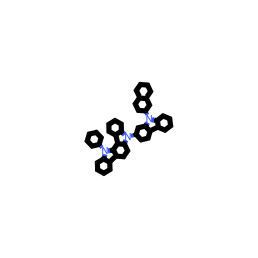 c1ccc(-n2c3ccccc3c3ccc4c(c5ccccc5n4-c4ccc5c6ccccc6n(-c6ccc7ccccc7c6)c5c4)c32)cc1